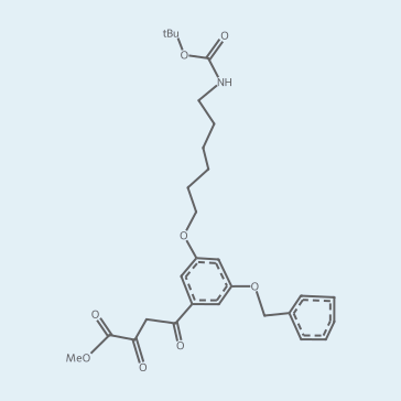 COC(=O)C(=O)CC(=O)c1cc(OCCCCCCNC(=O)OC(C)(C)C)cc(OCc2ccccc2)c1